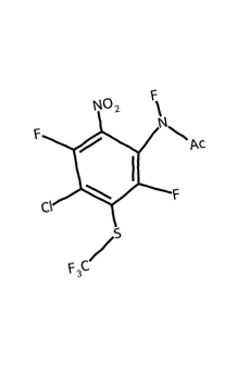 CC(=O)N(F)c1c(F)c(SC(F)(F)F)c(Cl)c(F)c1[N+](=O)[O-]